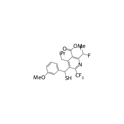 COC(=O)c1c(C(F)F)nc(C(F)(F)F)c(C(S)c2cccc(OC)c2)c1CC(C)C